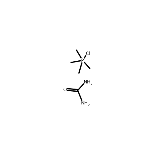 CP(C)(C)(C)Cl.NC(N)=O